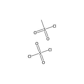 CS(=O)(=O)Cl.O=S(=O)(Cl)Cl